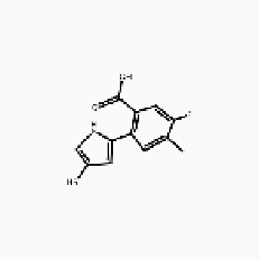 O=C(O)c1cc(F)c(F)cc1-c1cc(S)c[nH]1